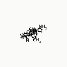 CC#CCn1c(N2CCCC(N)C2)nc2c1c(=O)n(Cc1ccc3c(c1C#N)OCO3)c(=O)n2C